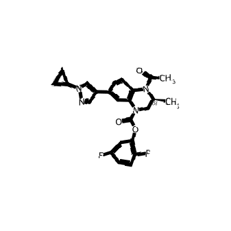 CC(=O)N1c2ccc(-c3cnn(C4CC4)c3)cc2N(C(=O)Oc2cc(F)ccc2F)C[C@@H]1C